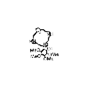 C1=Cc2cc3ccc(cc4nc(cc5ccc(cc1n2)[nH]5)C=C4)[nH]3.COc1c[c]([Co])c(OC)c(OC)c1OC